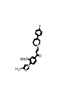 COc1cc(C(=O)/C=C/N2CCC=C(c3ccc(F)cc3)CC2)ccc1-n1cnc(C)c1